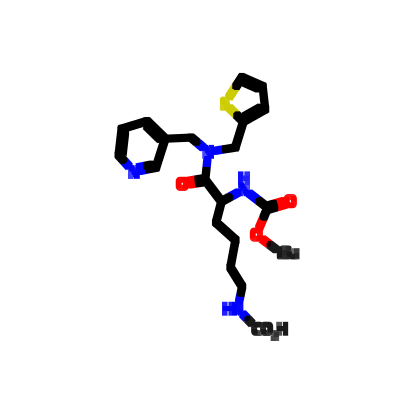 CC(C)(C)OC(=O)NC(CCCCNC(=O)O)C(=O)N(Cc1cccnc1)Cc1cccs1